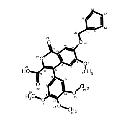 COc1cc2c(-c3cc(OC)c(OC)c(OC)c3)c(C(=O)O)oc(=O)c2cc1OCc1ccccc1